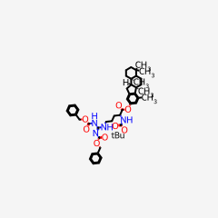 Cc1cc(OC(=O)C(CCCN/C(=N\C(=O)OCc2ccccc2)NC(=O)OCc2ccccc2)NC(=O)OC(C)(C)C)cc2c1[C@]1(C)CCC3C(C)(C)CCC[C@]3(C)[C@H]1C2